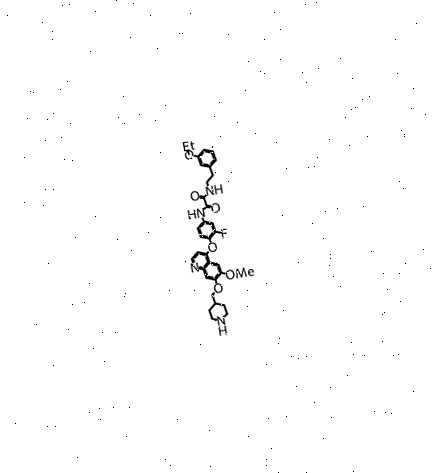 CCOc1cccc(CCNC(=O)C(=O)Nc2ccc(Oc3ccnc4cc(OCC5CCNCC5)c(OC)cc34)c(F)c2)c1